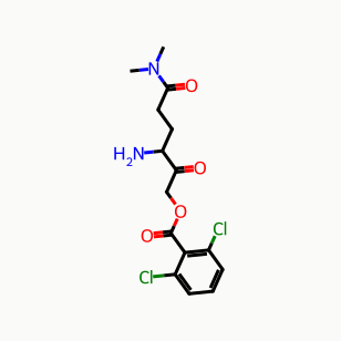 CN(C)C(=O)CCC(N)C(=O)COC(=O)c1c(Cl)cccc1Cl